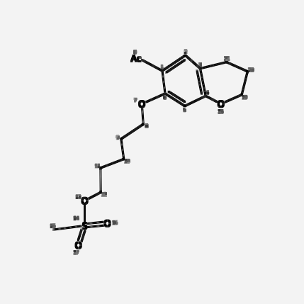 CC(=O)c1cc2c(cc1OCCCCCOS(C)(=O)=O)OCCC2